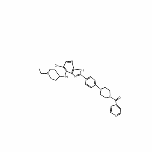 CCN1CCC(Nc2c(Cl)cnc3[nH]c(-c4ccc(N5CCN(C(=O)c6ccncc6)CC5)cc4)nc23)CC1